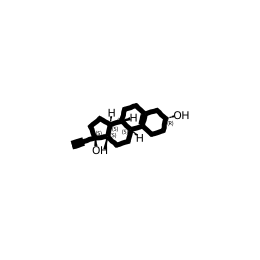 C#C[C@]1(O)CC[C@H]2[C@@H]3CCC4=C(CC[C@@H](O)C4)[C@H]3CC[C@@]21C